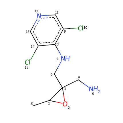 CC1OC1(CN)CNc1c(Cl)cncc1Cl